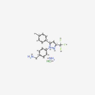 Cc1ccc(-c2cc(C(F)(F)F)nn2-c2ccc(CN)cc2)cc1.Cl.N